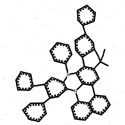 CC1(C)c2cc(-c3ccccc3)ccc2-c2c1cc(-c1ccccc1)c1c2N(c2ccccc2)c2cc(-c3ccccc3)c(-c3ccccc3)cc2N1c1ccccc1